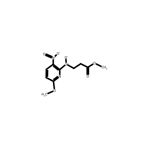 COC(=O)CC[S+]([O-])c1nc(OC)ccc1[N+](=O)[O-]